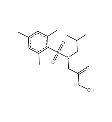 Cc1cc(C)c(S(=O)(=O)N(CC(=O)NO)CC(C)C)c(C)c1